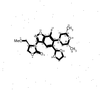 COC[C@@H]1COC(=O)N1c1noc2c(F)c(N3C[C@@H](C)O[C@@H](C)C3)c(C3OCCO3)cc12